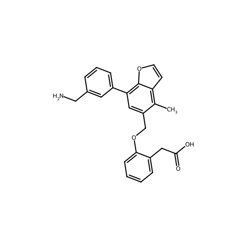 Cc1c(COc2ccccc2CC(=O)O)cc(-c2cccc(CN)c2)c2occc12